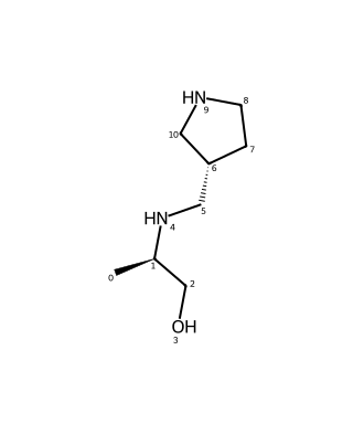 C[C@H](CO)NC[C@H]1CCNC1